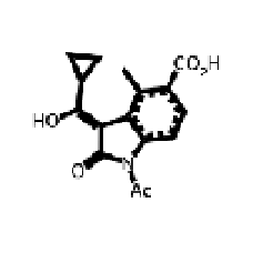 CC(=O)N1C(=O)C(=C(O)C2CC2)c2c1ccc(C(=O)O)c2C